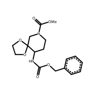 COC(=O)N1CCC(NC(=O)OCc2ccccc2)C2(C1)OCCO2